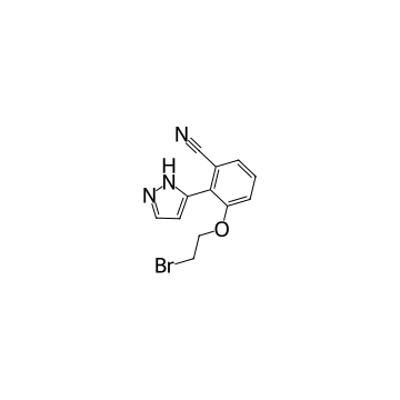 N#Cc1cccc(OCCBr)c1-c1ccn[nH]1